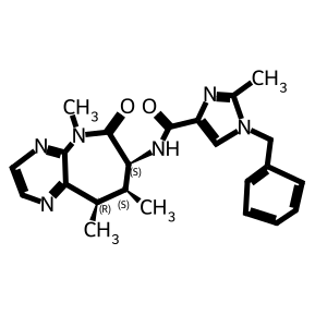 Cc1nc(C(=O)N[C@@H]2C(=O)N(C)c3nccnc3[C@H](C)[C@@H]2C)cn1Cc1ccccc1